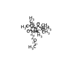 CCCOCCCNC(=O)c1c(NC(=O)C2C(C)(C)C2(C)C)sc(C)c1C